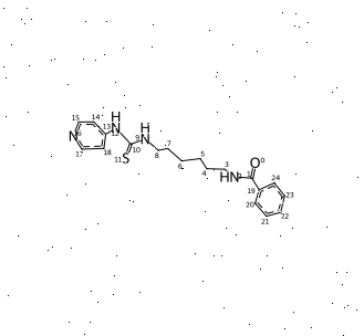 O=C(NCCCCCCNC(=S)Nc1ccncc1)c1ccccc1